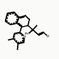 CCC=CC(C)(C(C)C)C1CC=c2ccccc2=C1c1cc(C)c(C)cn1